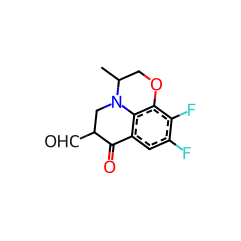 CC1COc2c(F)c(F)cc3c2N1CC(C=O)C3=O